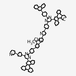 CC1(C)c2cc(-c3ccc(-c4nc(-c5ccc(-c6cccnc6)cc5)cc(-c5cc6c7ccccc7c7ccccc7c6c6ccccc56)n4)cc3)ccc2-c2ccc(-c3ccc(-c4ccc(-c5cc(-c6cc7c8ccccc8c8ccccc8c7c7ccccc67)nc(-c6ccc(-c7cc8ccccc8c8ccccc78)cc6)n5)cc4)cn3)cc21